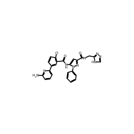 Nc1cccc(-c2ccc(Cl)c(C(=O)Nc3cc(C(=O)NCc4nnc[nH]4)nn3-c3ccccc3)c2)n1